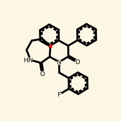 O=C1NCCCCC1N(Cc1ccccc1F)C(=O)C(c1ccccc1)c1ccccc1